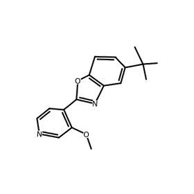 COc1cnccc1-c1nc2cc(C(C)(C)C)ccc2o1